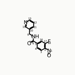 O=Nc1ccc(C(=O)NCc2cccnc2)cc1F